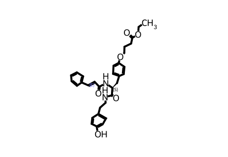 CCOC(=O)CCCOc1ccc(C[C@H](NC(=O)/C=C/c2ccccc2)C(=O)NCCc2ccc(O)cc2)cc1